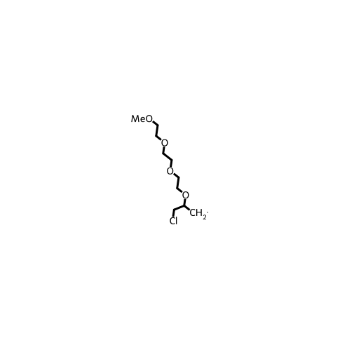 [CH2]C(CCl)OCCOCCOCCOC